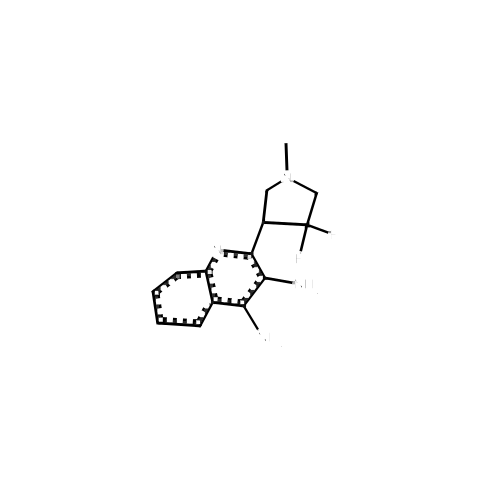 CN1CC(c2nc3ccccc3c(N)c2N)C(F)(F)C1